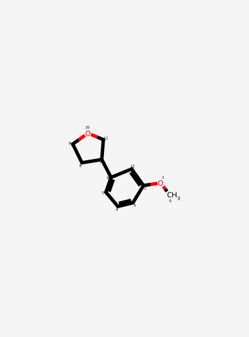 COc1cccc(C2CCOC2)c1